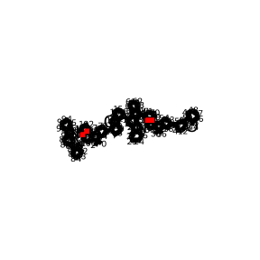 CC1(C)c2cc(-c3cccc4c3oc3cccc(-c5cc6c7ccccc7n(-c7ccc8c(c7)C(C)(C)c7cc(-c9ccc%10oc%11ccccc%11c%10c9)ccc7-8)c6c6c5c5ccccc5n6-c5ccccc5)c34)ccc2-c2ccc(-n3c4ccccc4c4ccc5c6ccccc6n(-c6ccccc6)c5c43)cc21